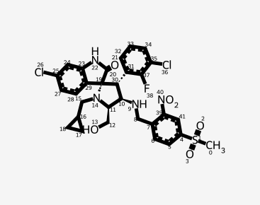 CS(=O)(=O)c1ccc(CN[C@H]2[C@@H](CO)N(CC3CC3)[C@]3(C(=O)Nc4cc(Cl)ccc43)[C@@H]2c2cccc(Cl)c2F)c([N+](=O)[O-])c1